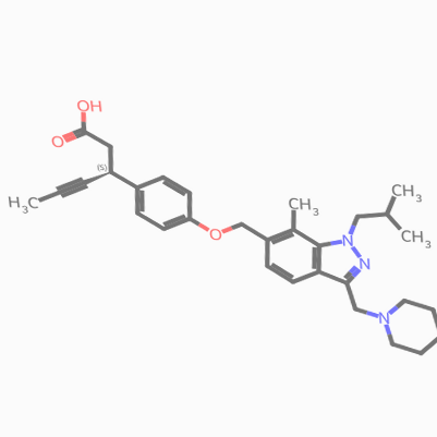 CC#C[C@@H](CC(=O)O)c1ccc(OCc2ccc3c(CN4CCCCC4)nn(CC(C)C)c3c2C)cc1